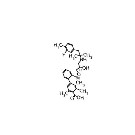 Cc1ccc(CC(C)(C)NC[C@@H](O)CO[C@H](C)c2ccccc2-c2cc(C)c(C(=O)O)c(C)c2)cc1F